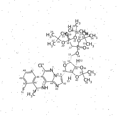 C[C@H](Nc1cc(Cl)nn2c([C@@H]3O[C@H](COP(=O)(CP(=O)(OC(C)(C)C)OC(C)(C)C)OC(C)(C)C)[C@H]4OC(C)(C)O[C@H]43)cnc12)c1ccccc1F